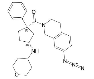 [N-]=[N+]=Nc1ccc2c(c1)CN(C(=O)[C@@]1(c3ccccc3)CC[C@@H](NC3CCOCC3)C1)CC2